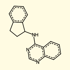 c1ccc2c(c1)CCC2Nc1ncnc2ccccc12